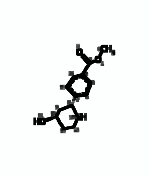 COC(=O)c1ccc([C@H]2C[C@H](O)CCN2)cc1